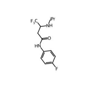 CC(C)NC(CC(=O)Nc1ccc(F)cc1)C(F)(F)F